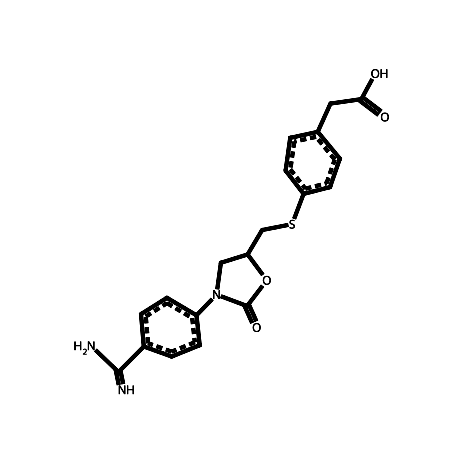 N=C(N)c1ccc(N2CC(CSc3ccc(CC(=O)O)cc3)OC2=O)cc1